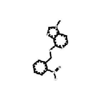 Cn1cnc2c(SCc3ccccc3[N+](=O)[O-])nccc21